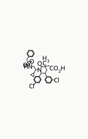 CC1(CC(=O)O)CC(c2cccc(Cl)c2)C(c2ccc(Cl)cc2)N(C(CNS(=O)(=O)Cc2ccccc2)C2CC2)C1=O